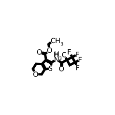 CCOC(=O)c1c(NC(=O)C2(C)CC(F)(F)C2(F)F)sc2c1CCOC2